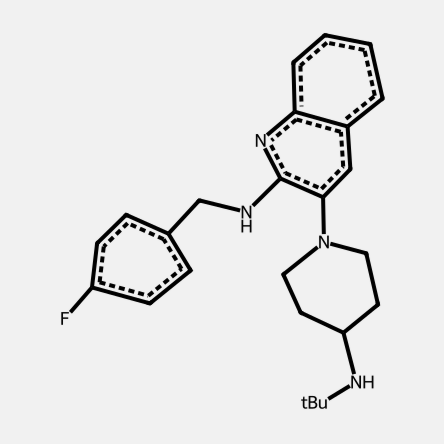 CC(C)(C)NC1CCN(c2cc3ccccc3nc2NCc2ccc(F)cc2)CC1